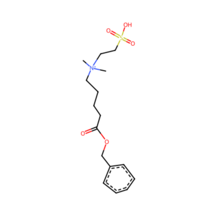 C[N+](C)(CCCCC(=O)OCc1ccccc1)CCS(=O)(=O)O